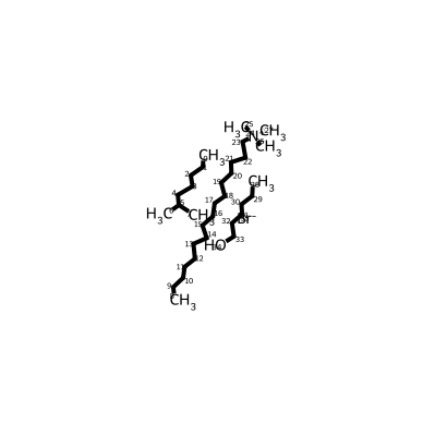 CCCCCC(C)C.CCCCCCCCCCCCCCCC[N+](C)(C)C.CCCCCCO.[Br-]